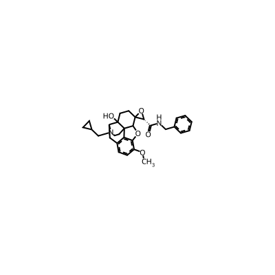 COc1ccc2c3c1OC1C4(CCC5(O)C(C2)N(CC2CC2)CCC315)O[C@@H]4C(=O)NCc1ccccc1